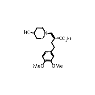 CCOC(=O)C(=CN1CCC(O)CC1)CCc1ccc(OC)c(OC)c1